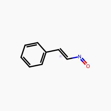 O=N/C=C/c1ccccc1